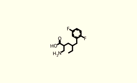 CCC(Cc1cc(F)ccc1F)CC(CN)C(=O)O